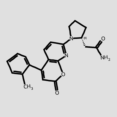 Cc1ccccc1-c1cc(=O)oc2nc(N3CCC[C@@H]3CC(N)=O)ccc12